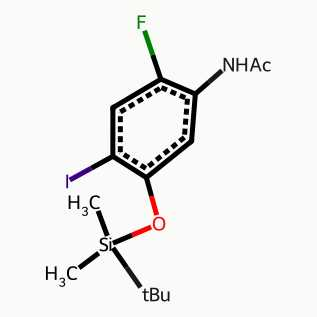 CC(=O)Nc1cc(O[Si](C)(C)C(C)(C)C)c(I)cc1F